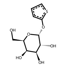 OC[C@H]1O[C@H](Oc2cccs2)[C@H](O)[C@@H](O)[C@H]1O